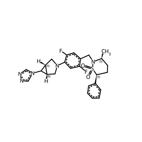 C[C@H]1CC[C@@H](c2ccccc2)S(=O)(=O)N1Cc1cc(F)c(N2C[C@@H]3C(n4cnnc4)[C@@H]3C2)cc1F